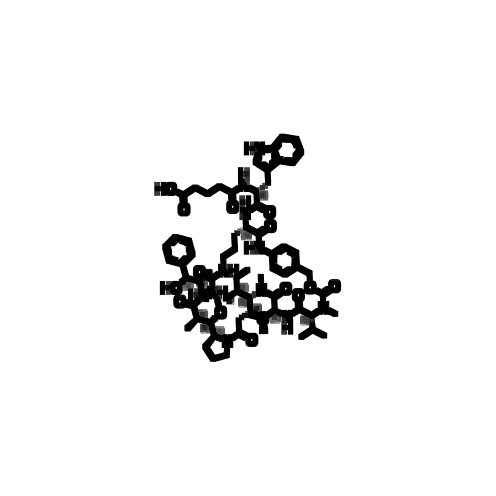 CC[C@H](C)[C@@H]([C@@H](CC(=O)N1CCC[C@H]1[C@H](OC)[C@@H](C)C(=O)N[C@H](C)[C@@H](O)c1ccccc1)OC)N(C)C(=O)[C@@H](NC(=O)[C@H](C(C)C)N(C)C(=O)OCc1ccc(NC(=O)[C@H](CCCNC(N)=O)NC(=O)[C@@H](Cc2c[nH]c3ccccc23)NC(=O)CCCC(=O)O)cc1)C(C)C